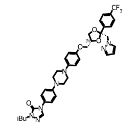 CCC(C)n1ncn(-c2ccc(N3CCN(c4ccc(OC[C@@H]5CO[C@@](Cn6cccn6)(c6ccc(C(F)(F)F)cc6)O5)cc4)CC3)cc2)c1=O